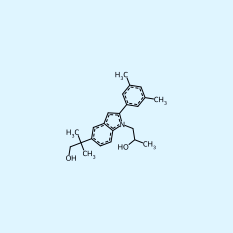 Cc1cc(C)cc(-c2cc3cc(C(C)(C)CO)ccc3n2CC(C)O)c1